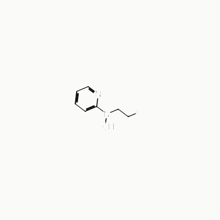 CN(CC[O])c1ccccn1